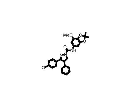 COc1cc(NC(=O)N2CC(c3ccccc3)C(c3ccc(Cl)cc3)=N2)cc2c1OC(C)(C)O2